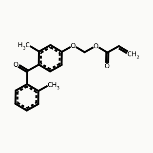 C=CC(=O)OCOc1ccc(C(=O)c2ccccc2C)c(C)c1